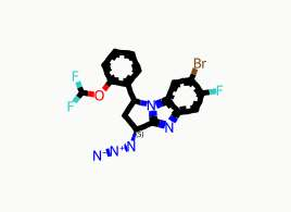 [N-]=[N+]=N[C@H]1CC(c2ccccc2OC(F)F)n2c1nc1cc(F)c(Br)cc12